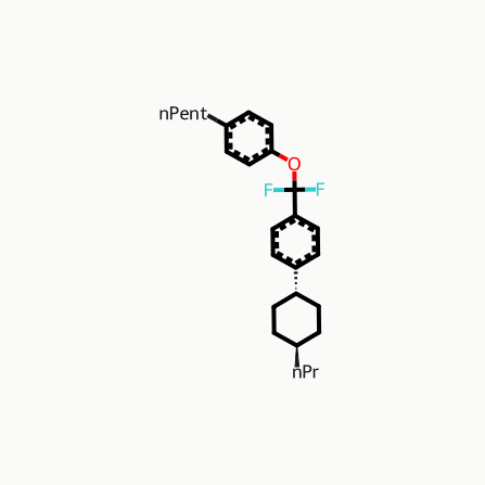 CCCCCc1ccc(OC(F)(F)c2ccc([C@H]3CC[C@H](CCC)CC3)cc2)cc1